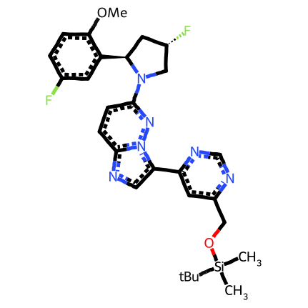 COc1ccc(F)cc1[C@H]1C[C@H](F)CN1c1ccc2ncc(-c3cc(CO[Si](C)(C)C(C)(C)C)ncn3)n2n1